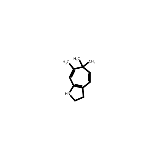 CC1=CC2=C(C=CC1(C)C)CCN2